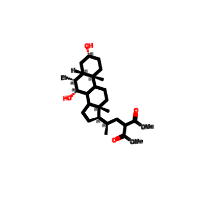 CC[C@H]1[C@@H](O)C2C3CC[C@H]([C@H](C)CC(C(=O)OC)C(=O)OC)[C@@]3(C)CCC2[C@@]2(C)CC[C@@H](O)C[C@@H]12